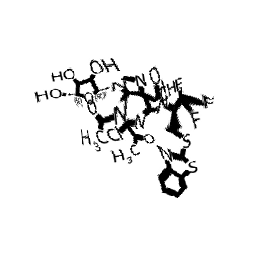 CC(=O)N1C2N([C@@H]3O[C@H](CO)C(O)C3O)C=NC2(C(C)=O)C(NC(CSc2nc3ccccc3s2)C(F)(F)F)=NC1(Cl)C(C)=O